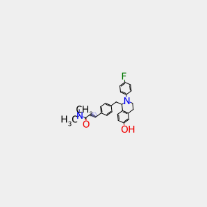 CN(C)C(=O)/C=C/c1ccc(CC2c3ccc(O)cc3CCN2c2ccc(F)cc2)cc1